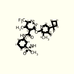 Cc1c(Oc2nnc(C(F)(F)F)c(C)c2C(=O)Nc2cccc(S(C)(=N)=O)c2)ncc(C2(F)CCC2)c1F